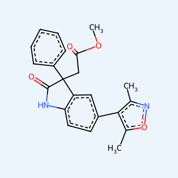 COC(=O)CC1(c2ccccc2)C(=O)Nc2ccc(-c3c(C)noc3C)cc21